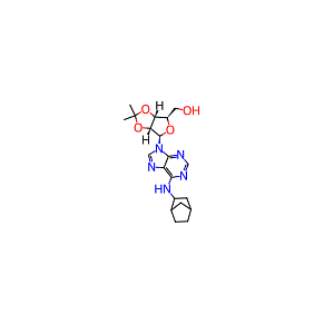 CC1(C)O[C@@H]2[C@H](O1)[C@@H](CO)O[C@H]2n1cnc2c(NC3CC4CCC3C4)ncnc21